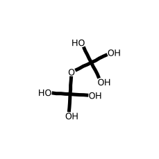 OC(O)(O)OC(O)(O)O